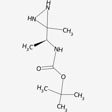 C[C@H](NC(=O)OC(C)(C)C)C1(C)NN1